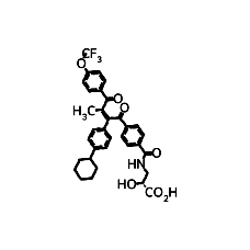 C/C(C(=O)c1ccc(OC(F)(F)F)cc1)=C(/C(=O)c1ccc(C(=O)NC[C@@H](O)C(=O)O)cc1)c1ccc(C2CCCCC2)cc1